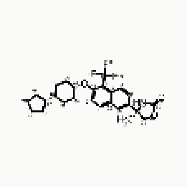 C[C@@]1(c2ccc3c(C(F)(F)F)c(O[C@H]4CC[C@@H](C5CCCC5)CC4)ccc3c2)COC(=O)N1